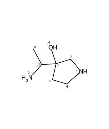 CC(N)C1(O)CCNC1